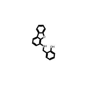 Oc1ccccc1CNc1cccc2c1oc1ccccc12